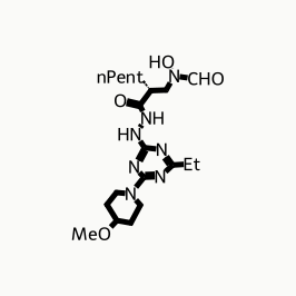 CCCCC[C@H](CN(O)C=O)C(=O)NNc1nc(CC)nc(N2CCC(OC)CC2)n1